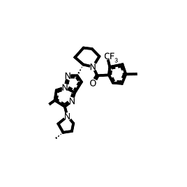 Cc1ccc(C(=O)N2CCCC[C@H]2c2cc3nc(N4CC[C@H](C)C4)c(C)cn3n2)c(C(F)(F)F)c1